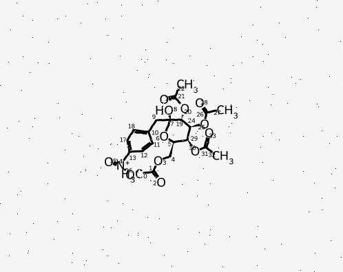 CC(=O)OC[C@H]1O[C@](O)(Cc2ccc([N+](=O)[O-])cc2)[C@H](OC(C)=O)[C@@H](OC(C)=O)[C@H]1OC(C)=O